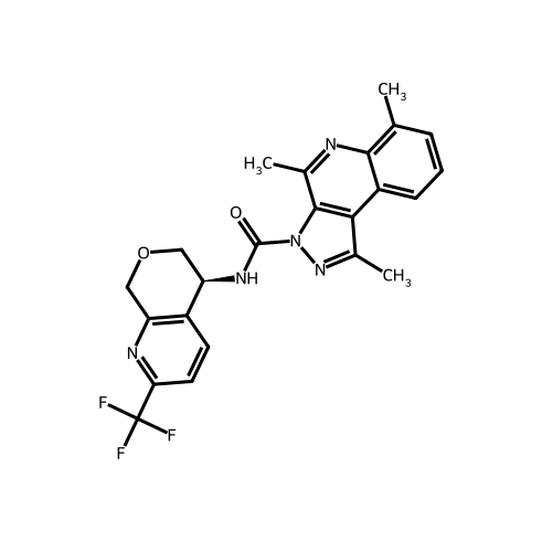 Cc1cccc2c1nc(C)c1c2c(C)nn1C(=O)N[C@@H]1COCc2nc(C(F)(F)F)ccc21